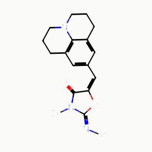 CCN1C(=O)/C(=C\c2cc3c4c(c2)CCCN4CCC3)OC1=NC(C)C